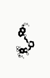 COc1ccc2c(OCCCN3CCCCC(CN4Cc5cc(OC)c(OC)cc5C4=O)C3)cccc2c1